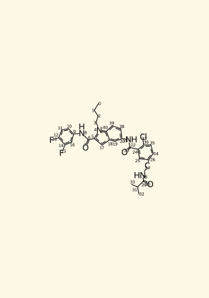 CCCCn1c(C(=O)Nc2ccc(F)c(F)c2)cc2cc(NC(=O)c3cc(CNC(=O)C(C)C)ccc3Cl)ccc21